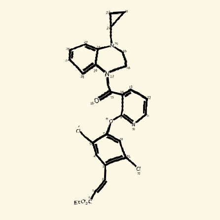 CCOC(=O)/C=C/c1cc(Cl)c(Oc2ncccc2C(=O)N2CCN(C3CC3)c3ccccc32)cc1Cl